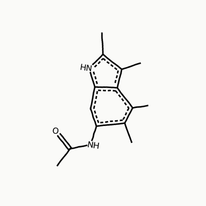 CC(=O)Nc1cc2[nH]c(C)c(C)c2c(C)c1C